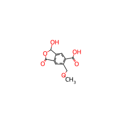 COCc1cc2c(cc1C(=O)O)C(O)OC2=O